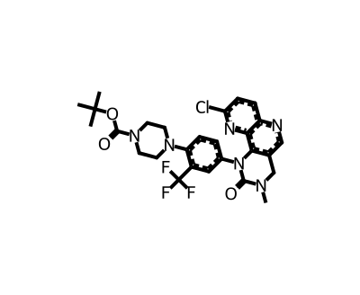 CN1Cc2cnc3ccc(Cl)nc3c2N(c2ccc(N3CCN(C(=O)OC(C)(C)C)CC3)c(C(F)(F)F)c2)C1=O